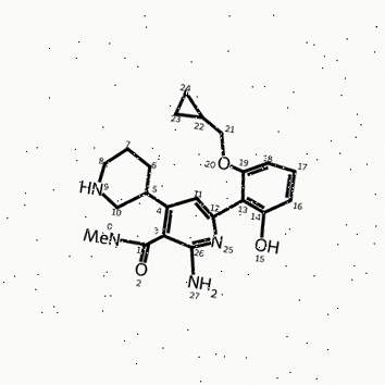 CNC(=O)c1c(C2CCCNC2)cc(-c2c(O)cccc2OCC2CC2)nc1N